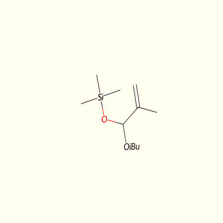 C=C(C)C(OCC(C)C)O[Si](C)(C)C